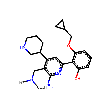 CC(C)N(Cc1c(C2CCCNC2)cc(-c2c(O)cccc2OCC2CC2)nc1N)C(=O)O